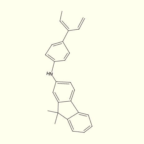 C=C/C(=C\C)c1ccc(Nc2ccc3c(c2)C(C)(C)c2ccccc2-3)cc1